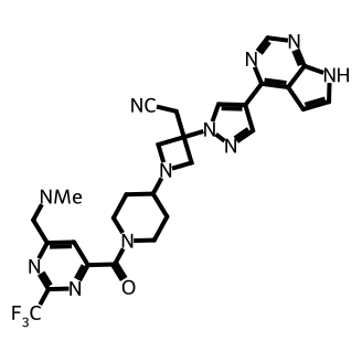 CNCc1cc(C(=O)N2CCC(N3CC(CC#N)(n4cc(-c5ncnc6[nH]ccc56)cn4)C3)CC2)nc(C(F)(F)F)n1